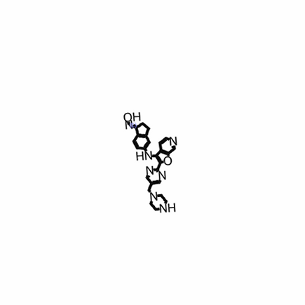 O/N=C1\CCc2cc(Nc3c(-c4ncc(CN5CCNCC5)cn4)oc4cnccc34)ccc21